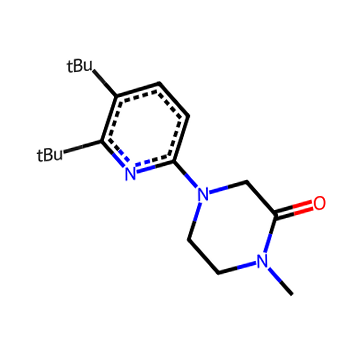 CN1CCN(c2ccc(C(C)(C)C)c(C(C)(C)C)n2)CC1=O